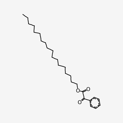 CCCCCCCCCCCCCCCCCCOC(=O)C(=O)c1ccccc1